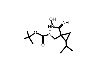 CC(C)C1CC1(CNC(=O)OC(C)(C)C)C(=N)NO